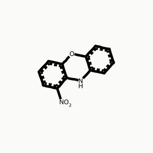 O=[N+]([O-])c1cccc2c1Nc1ccccc1O2